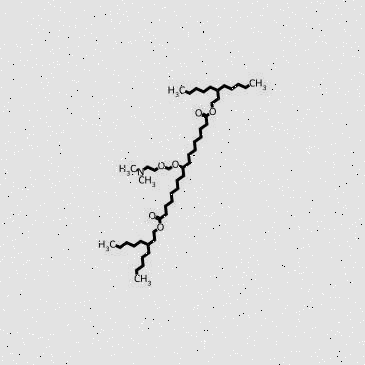 CCCCCC(CCCCC)CCOC(=O)CCCCCCCC(CCCCCCCC(=O)OCCC(CCCCC)CCCCC)OCOCCN(C)C